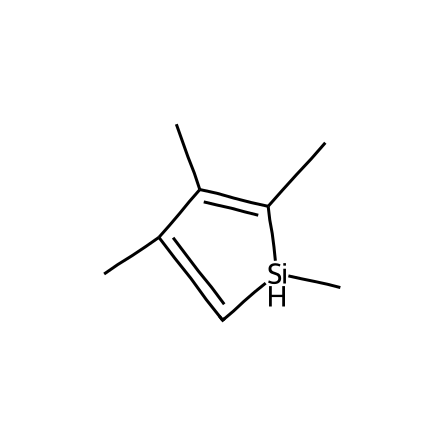 CC1=C[SiH](C)C(C)=C1C